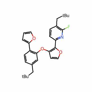 CC(C)(C)Cc1ccc(-c2ccco2)c(Oc2ccoc2-c2ccc(CC(C)(C)C)c(F)n2)c1